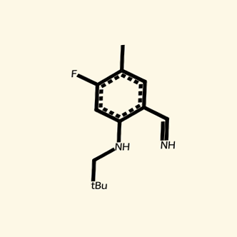 Cc1cc(C=N)c(NCC(C)(C)C)cc1F